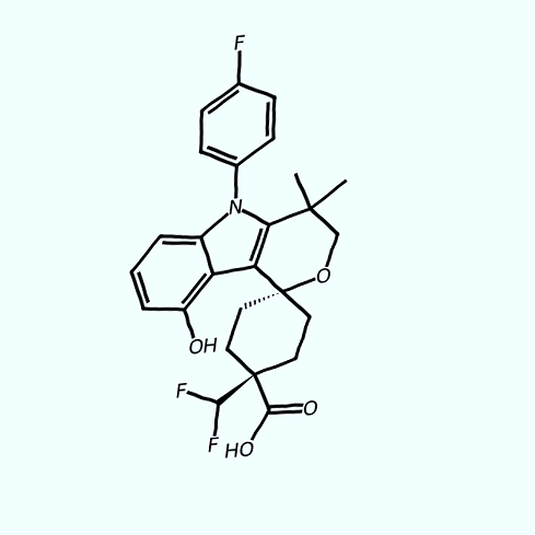 CC1(C)CO[C@]2(CC[C@](C(=O)O)(C(F)F)CC2)c2c1n(-c1ccc(F)cc1)c1cccc(O)c12